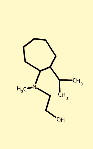 CC(C)C1CCCCCC1N(C)CCO